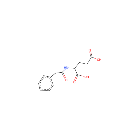 O=C(O)CCC(NC(=O)Cc1ccccc1)C(=O)O